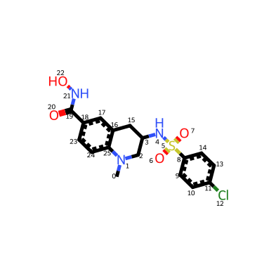 CN1CC(NS(=O)(=O)c2ccc(Cl)cc2)Cc2cc(C(=O)NO)ccc21